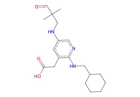 CC(C)(C=O)CNc1cnc(NCC2CCCCC2)c(CC(=O)O)c1